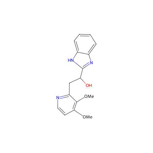 COc1ccnc(CC(O)c2nc3ccccc3[nH]2)c1OC